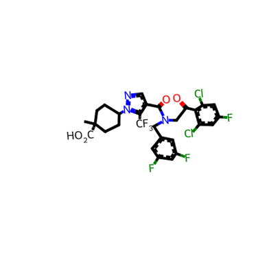 CC1(C(=O)O)CCC(n2ncc(C(=O)N(CC(=O)c3c(Cl)cc(F)cc3Cl)Cc3cc(F)cc(F)c3)c2C(F)(F)F)CC1